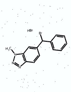 Br.Cn1nnc2ccc(C(Br)c3ccccc3)cc21